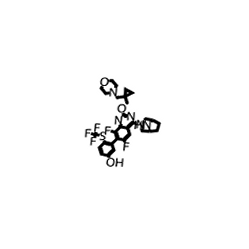 Oc1ccc(SC(F)(F)F)c(-c2c(F)cc3c(N4CC5CCC(C4)N5)nc(OCC4(CN5CCOCC5)CC4)nc3c2F)c1